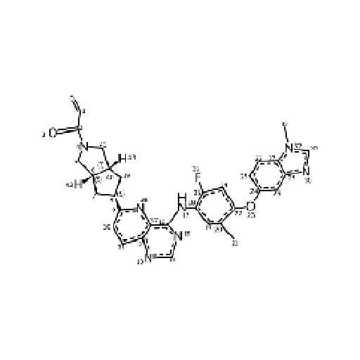 C=CC(=O)N1C[C@H]2C[C@H](c3ccc4ncnc(Nc5cc(C)c(Oc6ccc7c(c6)ncn7C)cc5F)c4n3)C[C@H]2C1